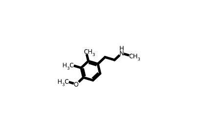 CNCCc1ccc(OC)c(C)c1C